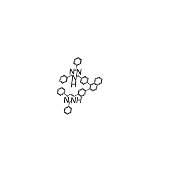 C1=C(c2ccc(-c3ccc4ccccc4c3-c3ccc(C4=NC(c5ccccc5)=NC(c5ccccc5)N4)cc3)cc2)NC(c2ccccc2)N=C1c1ccccc1